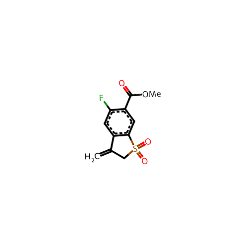 C=C1CS(=O)(=O)c2cc(C(=O)OC)c(F)cc21